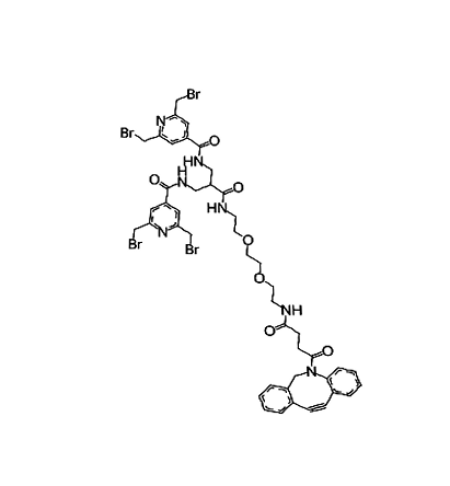 O=C(CCC(=O)N1Cc2ccccc2C#Cc2ccccc21)NCCOCCOCCNC(=O)C(CNC(=O)c1cc(CBr)nc(CBr)c1)CNC(=O)c1cc(CBr)nc(CBr)c1